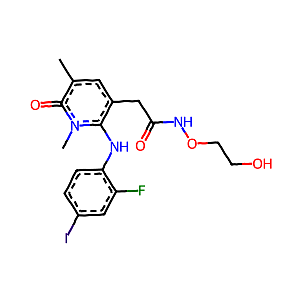 Cc1cc(CC(=O)NOCCO)c(Nc2ccc(I)cc2F)n(C)c1=O